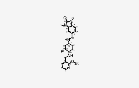 CCOc1ccccc1CN[C@H]1CC[C@H](NCc2ccc3c(c2)n(C)c(=O)n3C)C[C@H]1F